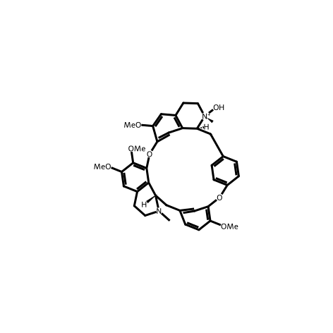 COc1ccc2cc1Oc1ccc(cc1)C[C@H]1c3cc(c(OC)cc3CC[N@+]1(C)O)Oc1c(OC)c(OC)cc3c1[C@H](C2)N(C)CC3